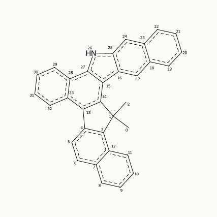 CC1(C)c2c(ccc3ccccc23)-c2c1c1c3cc4ccccc4cc3[nH]c1c1ccccc21